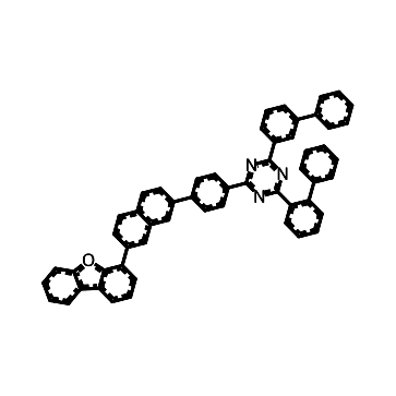 c1ccc(-c2cccc(-c3nc(-c4ccc(-c5ccc6ccc(-c7cccc8c7oc7ccccc78)cc6c5)cc4)nc(-c4ccccc4-c4ccccc4)n3)c2)cc1